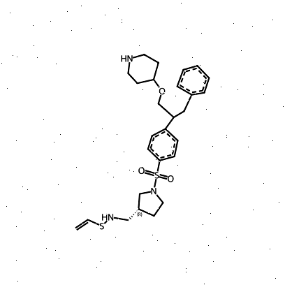 C=CSNC[C@H]1CCN(S(=O)(=O)c2ccc(C(COC3CCNCC3)Cc3ccccc3)cc2)C1